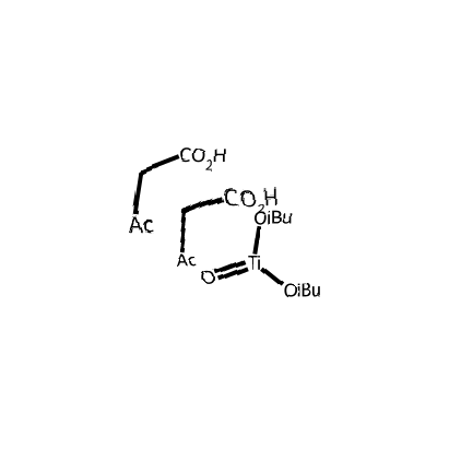 CC(=O)CC(=O)O.CC(=O)CC(=O)O.CC(C)C[O][Ti](=[O])[O]CC(C)C